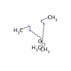 CCCCC/C=C\C/C=C\CCCCCCCCC(CCCCCCCC/C=C\C/C=C\CCCCC)CC(=O)C1CCCC(C(C)C)C1